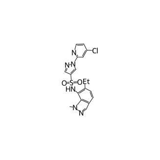 CCc1ccc2cnn(C)c2c1NS(=O)(=O)c1cnn(-c2cc(Cl)ccn2)c1